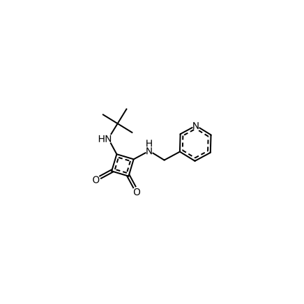 CC(C)(C)Nc1c(NCc2cccnc2)c(=O)c1=O